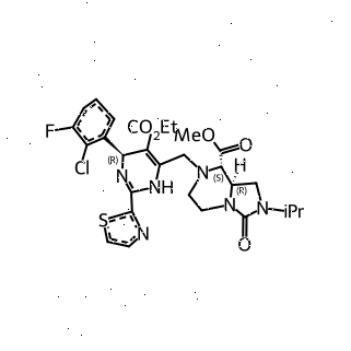 CCOC(=O)C1=C(CN2CCN3C(=O)N(C(C)C)C[C@@H]3[C@H]2C(=O)OC)NC(c2nccs2)=N[C@H]1c1cccc(F)c1Cl